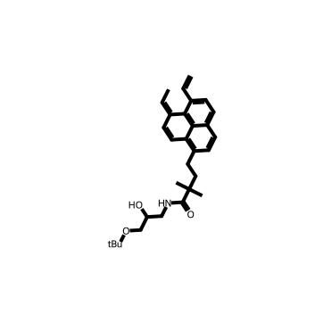 C=Cc1ccc2ccc(CCC(C)(C)C(=O)NCC(O)COC(C)(C)C)c3cc/c(=C/C)c1c23